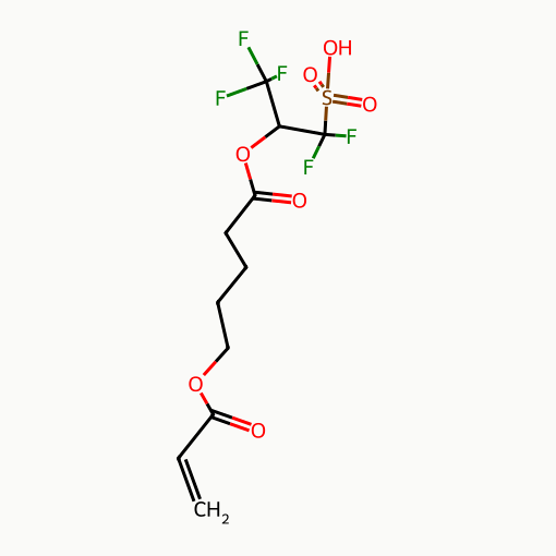 C=CC(=O)OCCCCC(=O)OC(C(F)(F)F)C(F)(F)S(=O)(=O)O